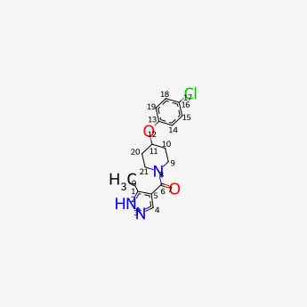 Cc1[nH]ncc1C(=O)N1CCC(Oc2ccc(Cl)cc2)CC1